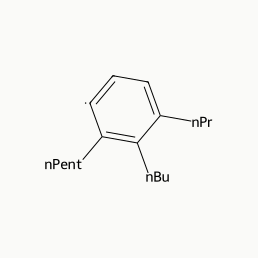 CCCCCc1[c]ccc(CCC)c1CCCC